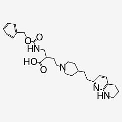 O=C(NCC(CCN1CCC(CCc2ccc3c(n2)NCCC3)CC1)C(=O)O)OCc1ccccc1